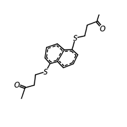 CC(=O)CCSc1cccc2c(SCCC(C)=O)cccc12